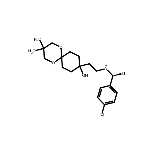 CC[C@H](NCCC1(O)CCC2(CC1)OCC(C)(C)CO2)c1ccc(Cl)cc1